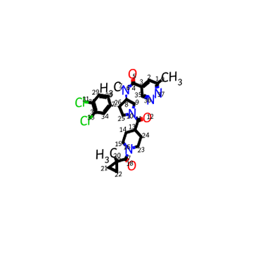 Cc1cc(C(=O)N(C)[C@H]2CN(C(=O)C3CCN(C(=O)C4(C)CC4)CC3)C[C@@H]2c2ccc(Cl)c(Cl)c2)cnn1